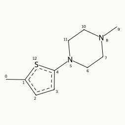 Cc1ccc(N2CCN(C)CC2)s1